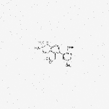 COc1ccc(C)cc1-c1ccc2c(c1CCl)C(C)=CC(C)(C)N2